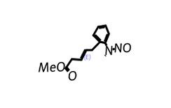 COC(=O)C/C=C/Cc1ccccc1N(C)N=O